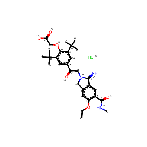 CCOc1cc2c(cc1C(=O)NC)C(=N)N(CC(=O)c1cc(C(C)(C)C)c(OCC(=O)O)c(C(C)(C)C)c1)C2.Cl